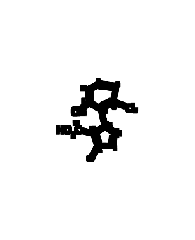 Cc1cnn(-c2c(Cl)cccc2Cl)c1C(=O)O